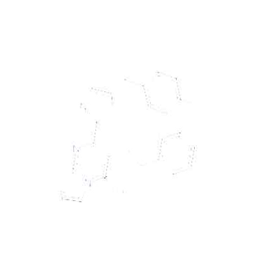 Cc1cn2c(=O)c(OCc3ccccc3)c(-c3ncc(Cc4ccc(Cl)c(Cl)c4)s3)nc2s1